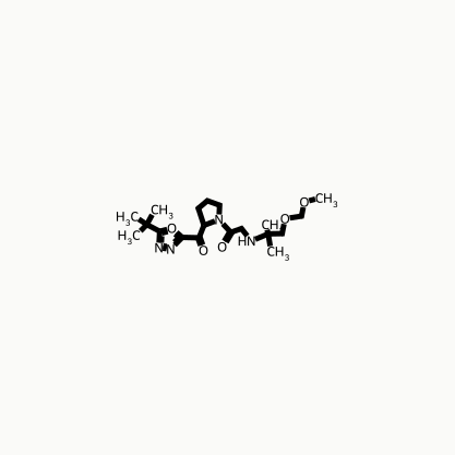 COCOCC(C)(C)NCC(=O)N1CCCC1C(=O)c1nnc(C(C)(C)C)o1